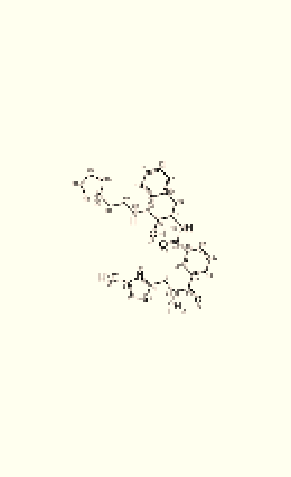 Cc1csc(CN(C)C(=O)c2cccc(C(=O)NC(Cc3ccccc3)C(O)CNCCN3CCCC3)c2)n1